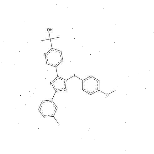 COc1ccc(Sc2oc(-c3cccc(F)c3)nc2-c2ccc(C(C)(C)O)nc2)cc1